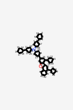 c1ccc(-c2ccc(N(c3ccc(-c4ccccc4)cc3)c3ccc(-c4cc(-c5ccccc5)c5c(c4)oc4c6ccccc6c(-c6ccccc6)cc45)cc3)cc2)cc1